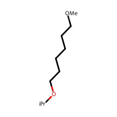 COCCCCCCOC(C)C